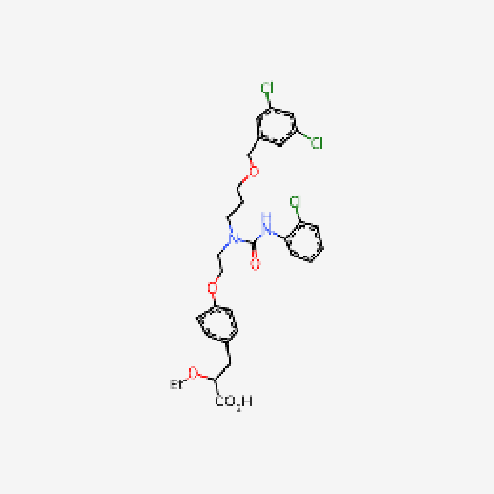 CCOC(Cc1ccc(OCCN(CCCOCc2cc(Cl)cc(Cl)c2)C(=O)Nc2ccccc2Cl)cc1)C(=O)O